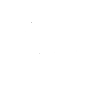 FC(F)(F)c1ccc(-c2nc(-c3ccc(-c4cnc5ccccc5n4)cc3)nc(-c3cccc4oc5cc6ccccc6cc5c34)n2)cc1